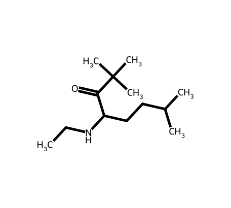 CCNC(CCC(C)C)C(=O)C(C)(C)C